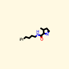 CC(C)CCCCNC(=O)C1N=CCC1C